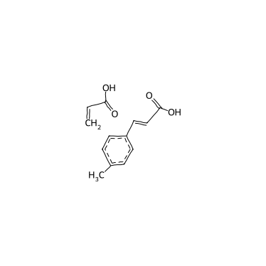 C=CC(=O)O.Cc1ccc(C=CC(=O)O)cc1